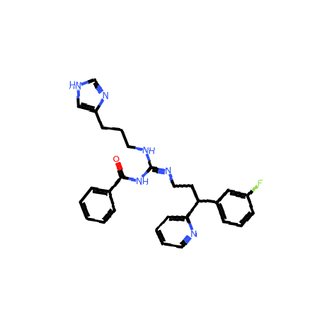 O=C(NC(=NCCC(c1cccc(F)c1)c1ccccn1)NCCCc1c[nH]cn1)c1ccccc1